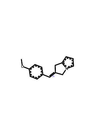 COc1ccc(/C=C2\Cc3cccn3C2)cc1